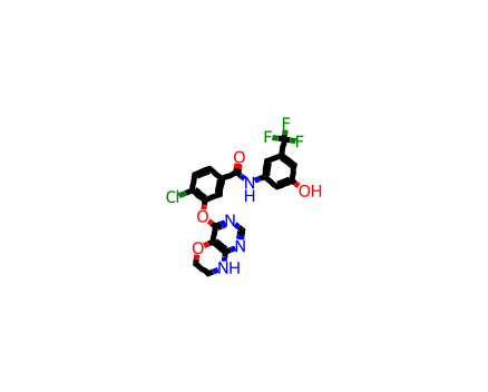 O=C(Nc1cc(O)cc(C(F)(F)F)c1)c1ccc(Cl)c(Oc2ncnc3c2OCCN3)c1